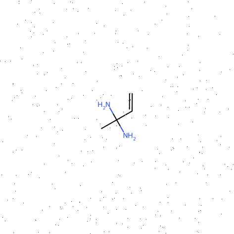 C=CC(C)(N)N